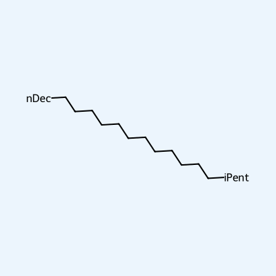 CCCCCCCCCCCCCCCCCCCCCCC(C)CCC